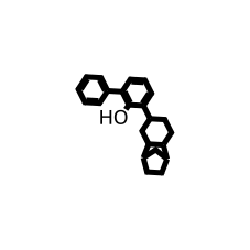 Oc1c(-c2ccccc2)cccc1C1CCC2C3CCC(C3)C2C1